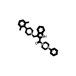 Cc1cccc(C)c1C1CCN(Cc2c(C(=O)N3CCN(c4ccccc4)CC3)[nH]c3ccccc23)CC1